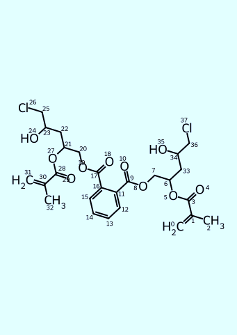 C=C(C)C(=O)OC(COC(=O)c1ccccc1C(=O)OCC(CC(O)CCl)OC(=O)C(=C)C)CC(O)CCl